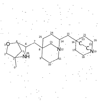 CC12COC(C1)C(CC13CCCN(C1)C(CC14CCN(CC1)CC4)CC3)N2